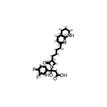 O=C(O)C[C@](O)(c1ccc(F)c(F)c1)N1CC(CCCCc2ccc3c(n2)NCCC3)C1=O